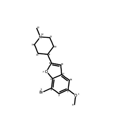 COc1cc(Br)c2oc(C3CCN(C)CC3)cc2c1